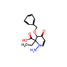 CCC1(C(=O)O)C(OCc2ccccc2)C(=O)C=CN1N